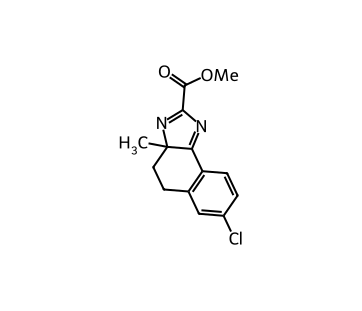 COC(=O)C1=NC2(C)CCc3cc(Cl)ccc3C2=N1